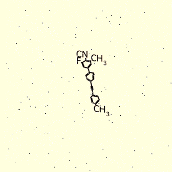 Cc1ccc(C#Cc2ccc(-c3cc(C)c(C#N)c(F)c3)cc2)cc1